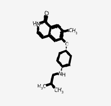 Cc1cc2c(=O)[nH]ccc2cc1O[C@H]1CC[C@@H](NCC(C)C)CC1